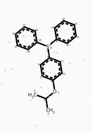 CC(C)Oc1ccc([S+](c2ccccc2)c2ccccc2)cc1